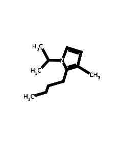 CCCCc1c(C)ccn1C(C)C